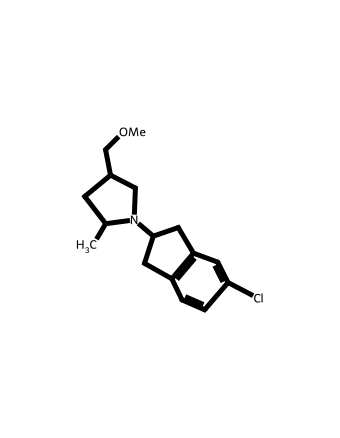 COCC1CC(C)N(C2Cc3ccc(Cl)cc3C2)C1